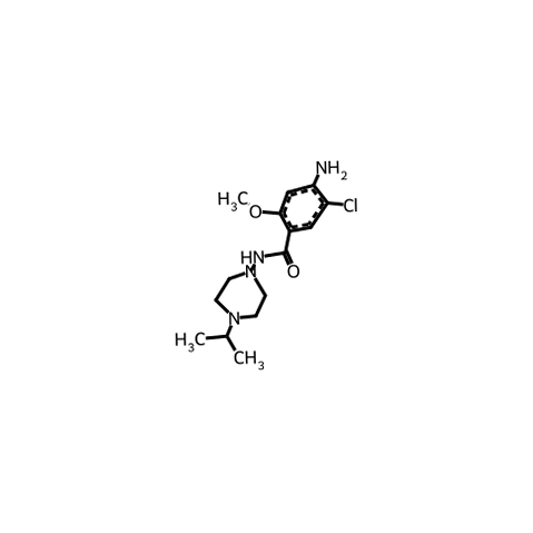 COc1cc(N)c(Cl)cc1C(=O)NN1CCN(C(C)C)CC1